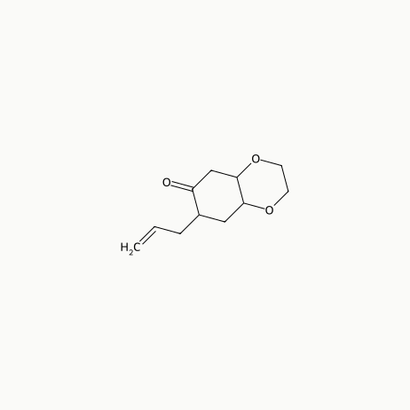 C=CCC1CC2OCCOC2CC1=O